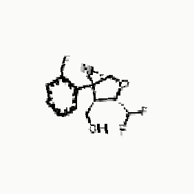 N[C@@]1(c2ccccc2F)CO[C@H](C(F)F)[C@H]1CO